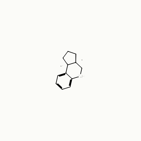 c1ccc2c(c1)NC[C@@H]1CCC[C@H]21